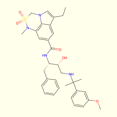 CCc1cn2c3c(cc(C(=O)N[C@@H](Cc4ccccc4)[C@H](O)CNC(C)(C)c4cccc(OC)c4)cc13)N(C)S(=O)(=O)C2